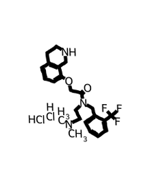 CN(C)CCN(Cc1ccccc1C(F)(F)F)C(=O)COc1cccc2c1CNCC2.Cl.Cl